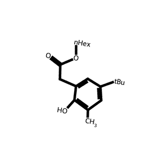 CCCCCCOC(=O)Cc1cc(C(C)(C)C)cc(C)c1O